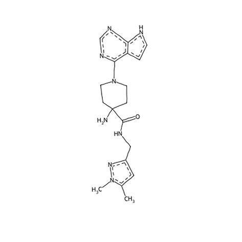 Cc1cc(CNC(=O)C2(N)CCN(c3ncnc4[nH]ccc34)CC2)nn1C